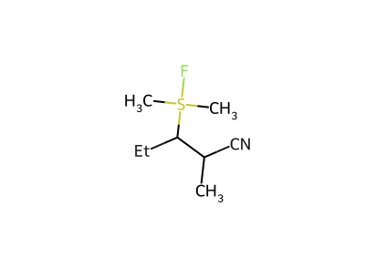 CCC(C(C)C#N)S(C)(C)F